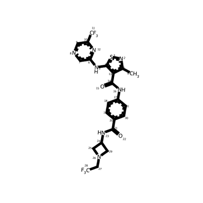 Cc1nsc(Nc2cncc(C(F)(F)F)n2)c1C(=O)Nc1ccc(C(=O)NC2CN(CC(F)(F)F)C2)cc1